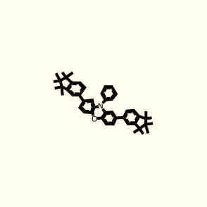 CC1(C)c2ccc(-c3ccc4c(c3)N(c3ccccc3)c3cc(-c5ccc6c(c5)C(C)(C)C(C)(C)C6(C)C)ccc3O4)cc2C(C)(C)C1(C)C